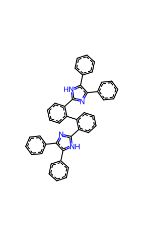 c1ccc(-c2nc(-c3ccccc3-c3ccccc3-c3nc(-c4ccccc4)c(-c4ccccc4)[nH]3)[nH]c2-c2ccccc2)cc1